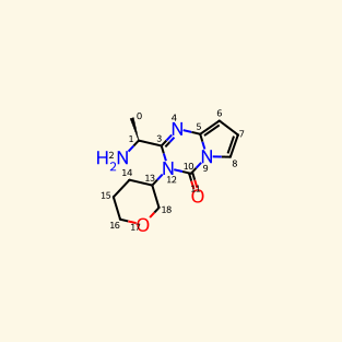 C[C@H](N)c1nc2cccn2c(=O)n1C1CCCOC1